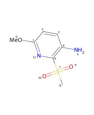 COc1ccc(N)c(S(C)(=O)=O)n1